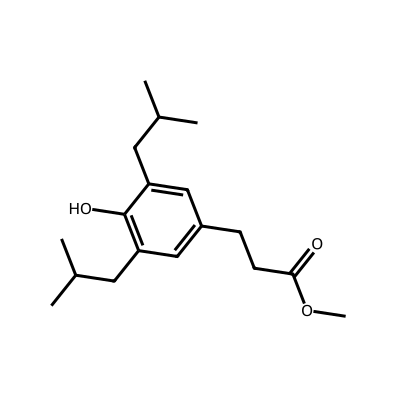 COC(=O)CCc1cc(CC(C)C)c(O)c(CC(C)C)c1